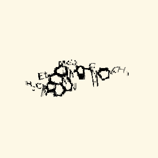 CCC(c1ccccc1)c1c2c(nn1C)CCc1cnc(Nc3ccc(C(=O)NC4CCN(C)CC4)cc3OC)nc1-2